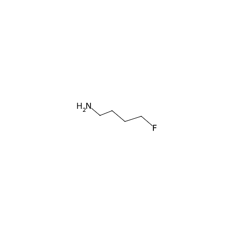 NCCCCF